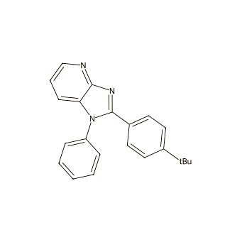 CC(C)(C)c1ccc(-c2nc3ncccc3n2-c2ccccc2)cc1